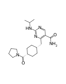 CC(C)Nc1ncc(C(N)=O)c(C[C@H]2CC[C@@H](C(=O)N3CCCC3)CC2)n1